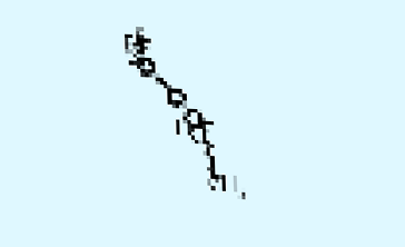 CCCCCCC1CC[C@@H]2C[C@H](c3ccc(C#Cc4ccc(OC(F)(F)F)cc4)cc3)CC[C@@H]2C1